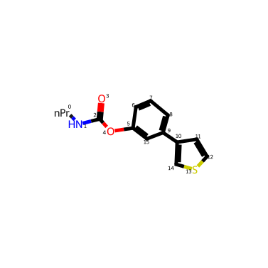 CCCNC(=O)Oc1cccc(-c2ccsc2)c1